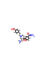 CN(C)C[C@H]1CN(CCc2ccc(O)cc2)CC[C@]1(O)c1cccc(C(N)=O)c1